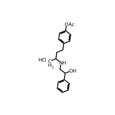 CC(=O)Oc1ccc(CCC(C)NCC(O)c2ccccc2)cc1.Cl